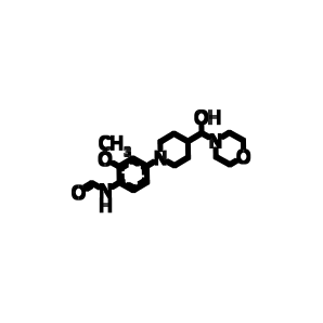 COc1cc(N2CCC(C(O)N3CCOCC3)CC2)ccc1NC=O